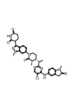 C[C@H]1C(=O)N(c2ccc3c(C4CCC(=O)NC4=O)nn(C)c3c2)CC[C@@H]1N(C)c1ncc(Cl)c(Nc2ccc3c(c2)CC(=O)N3C)n1